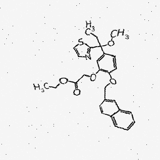 CCOC(=O)COc1cc(C(CC)(OC)c2nccs2)ccc1OCc1ccc2ccccc2c1